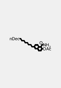 CCCCCCCCCCCCCCCCCCc1ccc2c(C(N)=O)c(OC(C)=O)ccc2c1